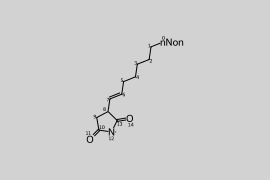 CCCCCCCCCCCCCC/C=C/C1CC(=O)[N]C1=O